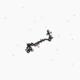 CC(CCC(=O)NC=O)N1Cc2c(C#CCCNCCOCCOCCN/C=C(\N)c3ccc(Nc4ncc5c(n4)-c4ccc(Cl)cc4C(c4c(F)cccc4F)=NC5)cc3)cccc2C1=O